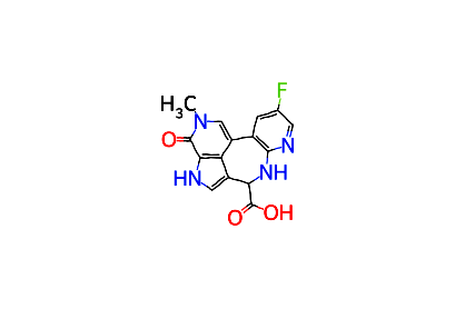 Cn1cc2c3c(c[nH]c3c1=O)C(C(=O)O)Nc1ncc(F)cc1-2